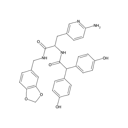 Nc1ccc(CC(NC(=O)C(c2ccc(O)cc2)c2ccc(O)cc2)C(=O)NCc2ccc3c(c2)OCO3)cn1